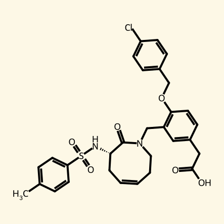 Cc1ccc(S(=O)(=O)N[C@H]2C/C=C\CCN(Cc3cc(CC(=O)O)ccc3OCc3ccc(Cl)cc3)C2=O)cc1